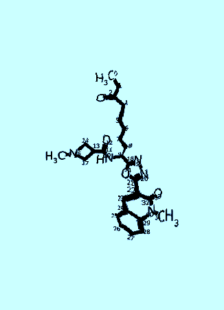 CCC(=O)CCCCC[C@H](NC(=O)C1CN(C)C1)c1nnc(-c2cc3ccccc3n(C)c2=O)o1